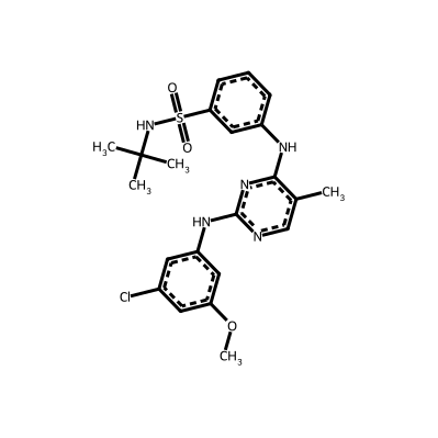 COc1cc(Cl)cc(Nc2ncc(C)c(Nc3cccc(S(=O)(=O)NC(C)(C)C)c3)n2)c1